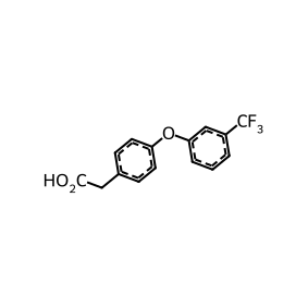 O=C(O)Cc1ccc(Oc2cccc(C(F)(F)F)c2)cc1